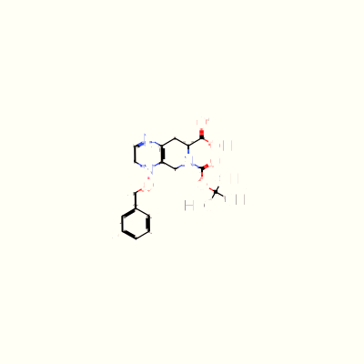 CC(C)(C)OC(=O)N1CC2=C(CC1C(=O)O)N=CCN2OCc1ccccc1